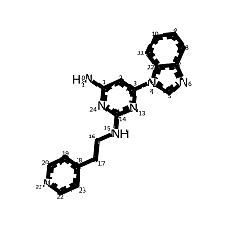 Nc1cc(-n2cnc3ccccc32)nc(NCCc2ccncc2)n1